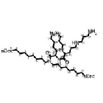 CCCCCCCCCCCCCCCCCCN(CCCCCCCCCCCCCCCCCC)C(=O)C(CCCCN)NC(=O)[C@H](CCCNCCCN)NCCCN